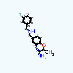 CC1Oc2ccc(CNCc3cccc(F)c3)cc2N=C1N